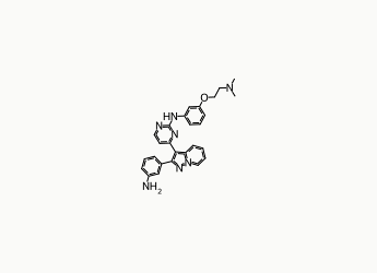 CN(C)CCOc1cccc(Nc2nccc(-c3c(-c4cccc(N)c4)nn4ccccc34)n2)c1